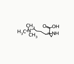 C[N+](C)(C)CCCC[C@]1(C(=O)O)CN1